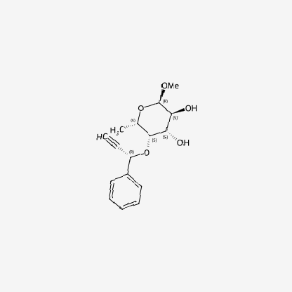 C#C[C@H](O[C@H]1[C@@H](O)[C@H](O)[C@H](OC)O[C@H]1C)c1ccccc1